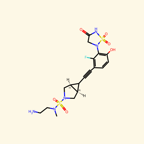 CN(CCN)S(=O)(=O)N1C[C@@H]2C(C#Cc3ccc(O)c(N4CC(=O)NS4(=O)=O)c3F)[C@@H]2C1